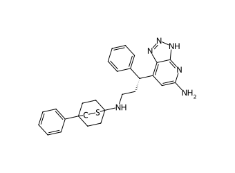 Nc1cc([C@H](CCNC23CCC(c4ccccc4)(CC2)CS3)c2ccccc2)c2nn[nH]c2n1